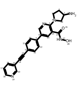 NC1CCN(c2ncc(-c3ccc(C#Cc4cccnc4)cc3)cc2C(=O)NO)C1